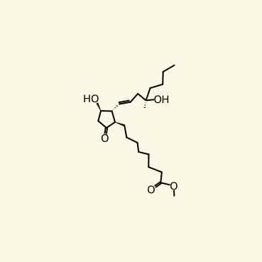 CCCC[C@@](C)(O)C/C=C/[C@H]1[C@H](O)CC(=O)[C@@H]1CCCCCCCC(=O)OC